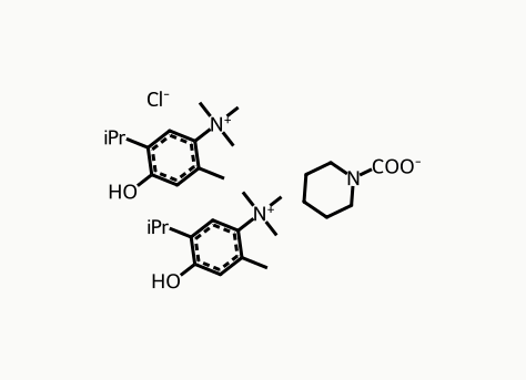 Cc1cc(O)c(C(C)C)cc1[N+](C)(C)C.Cc1cc(O)c(C(C)C)cc1[N+](C)(C)C.O=C([O-])N1CCCCC1.[Cl-]